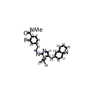 CNC(=O)c1ccc(C/C=N\c2ncc(Cc3ccc4ncccc4c3)n2N(C)C)cc1F